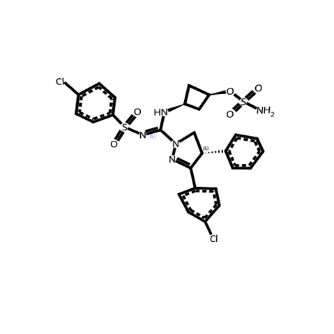 NS(=O)(=O)O[C@H]1C[C@@H](N/C(=N\S(=O)(=O)c2ccc(Cl)cc2)N2C[C@H](c3ccccc3)C(c3ccc(Cl)cc3)=N2)C1